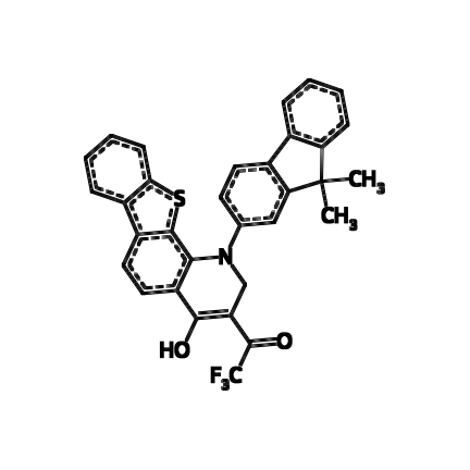 CC1(C)c2ccccc2-c2ccc(N3CC(C(=O)C(F)(F)F)=C(O)c4ccc5c(sc6ccccc65)c43)cc21